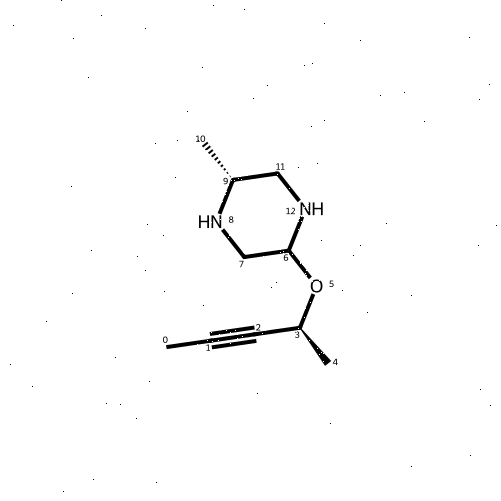 CC#C[C@H](C)OC1CN[C@H](C)CN1